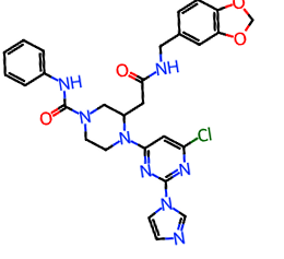 O=C(CC1CN(C(=O)Nc2ccccc2)CCN1c1cc(Cl)nc(-n2ccnc2)n1)NCc1ccc2c(c1)OCO2